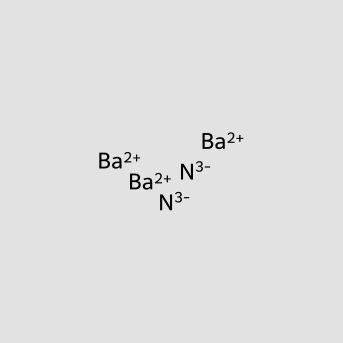 [Ba+2].[Ba+2].[Ba+2].[N-3].[N-3]